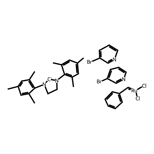 Brc1cccnc1.Brc1cccnc1.Cc1cc(C)c(N2[CH-]N(c3c(C)cc(C)cc3C)CC2)c(C)c1.[Cl][Ru]([Cl])=[CH]c1ccccc1